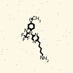 COc1ccc2c(c1)nc(C(F)(F)F)n2-c1cnc(CCCCCN)cn1